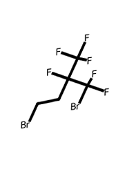 FC(F)(F)C(F)(CCBr)C(F)(F)Br